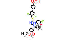 COc1cc(-n2c(N(C)c3ccc(OC)c(OC)c3)cnc2SCc2c(F)cc(-c3ccc(C(=O)O)cc3)cc2F)ccc1F